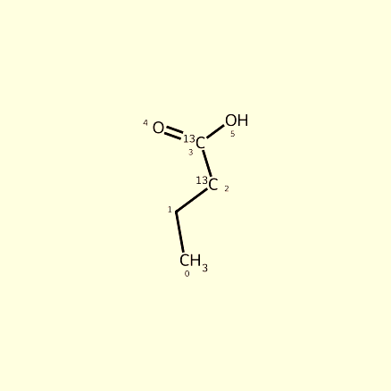 CC[13CH2][13C](=O)O